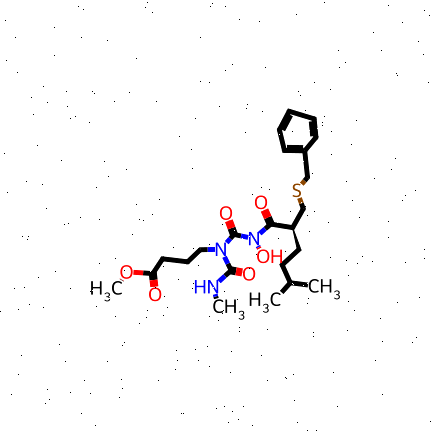 CNC(=O)N(CCCC(=O)OC)C(=O)N(O)C(=O)[C@H](CCC(C)C)CSCc1ccccc1